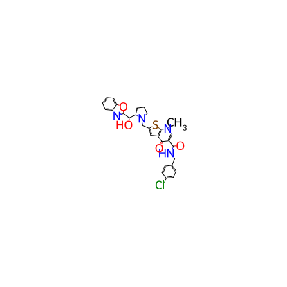 Cn1cc(C(=O)NCc2ccc(Cl)cc2)c(=O)c2cc(CN3CCC[C@@H]3[C@@H](O)c3nc4ccccc4o3)sc21